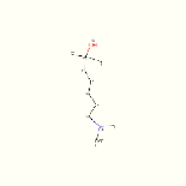 CCCN(C)CCCCCC(C)(C)O